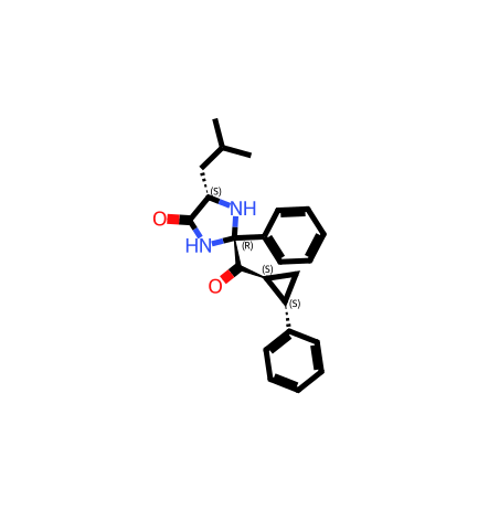 CC(C)C[C@@H]1N[C@](C(=O)[C@H]2C[C@@H]2c2ccccc2)(c2ccccc2)NC1=O